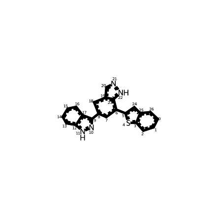 c1ccc2sc(-c3cc(-c4n[nH]c5ccccc45)cc4cn[nH]c34)cc2c1